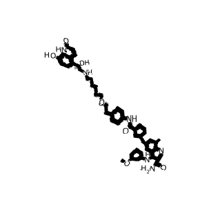 COc1cccc(Nc2c(C(N)=O)cnc3c(C)cc(Cc4cccc(C(=O)Nc5ccc(CCOCCCCCCNC[C@H](O)c6ccc(O)c7[nH]c(=O)ccc67)cc5)c4)cc23)c1